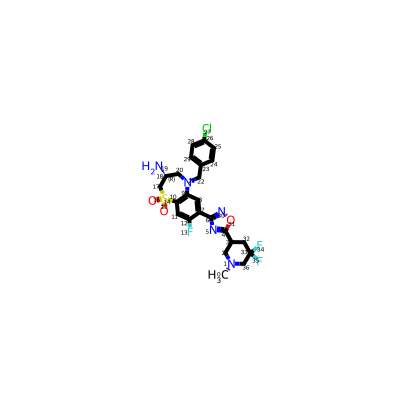 CN1CC(c2nc(-c3cc4c(cc3F)S(=O)(=O)C[C@H](N)CN4Cc3ccc(Cl)cc3)no2)CC(F)(F)C1